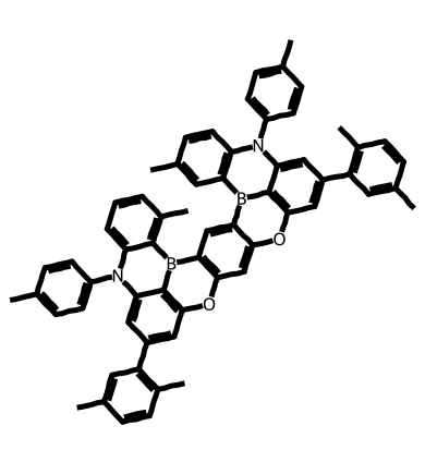 Cc1ccc(N2c3ccc(C)cc3B3c4cc5c(cc4Oc4cc(-c6cc(C)ccc6C)cc2c43)Oc2cc(-c3cc(C)ccc3C)cc3c2B5c2c(C)cccc2N3c2ccc(C)cc2)cc1